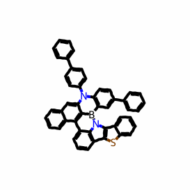 c1ccc(-c2ccc(N3c4ccc(-c5ccccc5)cc4B4c5c3cc3ccccc3c5-c3cccc5c6sc7ccccc7c6n4c35)cc2)cc1